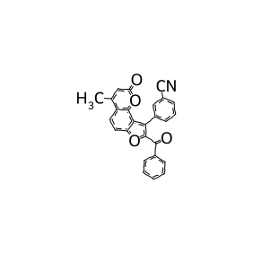 Cc1cc(=O)oc2c1ccc1oc(C(=O)c3ccccc3)c(-c3cccc(C#N)c3)c12